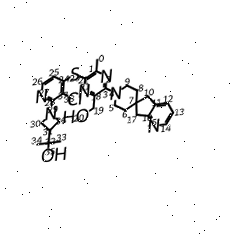 Cc1nc(N2CCC3(CC2)Cc2cccnc2C3)c(CO)nc1Sc1ccnc(N2CC(C(C)(C)O)C2)c1Cl